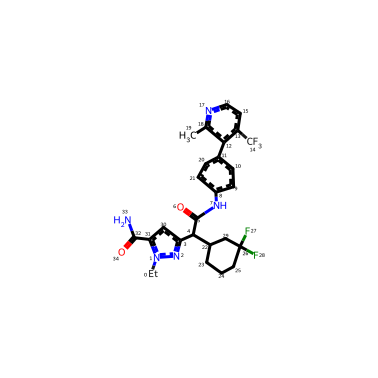 CCn1nc(C(C(=O)Nc2ccc(-c3c(C(F)(F)F)ccnc3C)cc2)C2CCCC(F)(F)C2)cc1C(N)=O